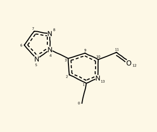 Cc1cc(-n2nccn2)cc(C=O)n1